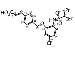 CCC(C(C)C)S(=O)(=O)Nc1ccc(C(F)(F)F)cc1OCc1ccc(/C=C/C(=O)O)cc1